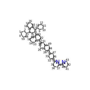 c1ccc(-c2c3c(c(-c4ccccc4)c4ccccc24)-c2ccc(-c4ccc5cc(-c6ccc(-c7cccc(-c8ccccn8)n7)cc6)ccc5c4)c4cccc-3c24)cc1